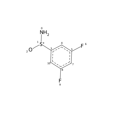 N[S+]([O-])c1cc(F)cc(F)c1